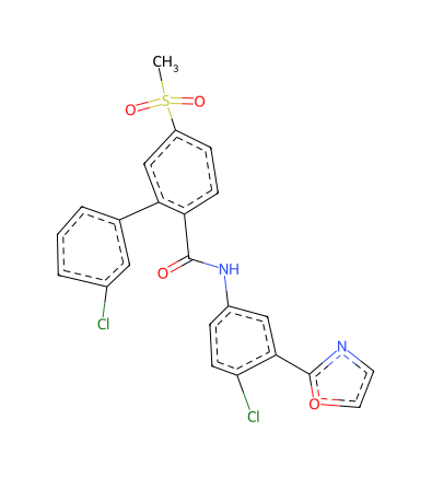 CS(=O)(=O)c1ccc(C(=O)Nc2ccc(Cl)c(-c3ncco3)c2)c(-c2cccc(Cl)c2)c1